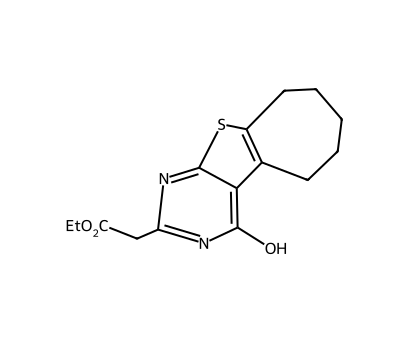 CCOC(=O)Cc1nc(O)c2c3c(sc2n1)CCCCC3